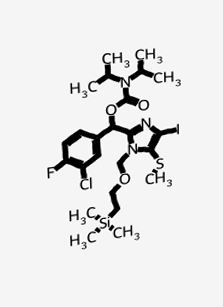 CSc1c(I)nc(C(OC(=O)N(C(C)C)C(C)C)c2ccc(F)c(Cl)c2)n1COCC[Si](C)(C)C